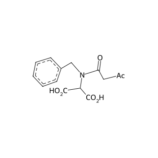 CC(=O)CC(=O)N(Cc1ccccc1)C(C(=O)O)C(=O)O